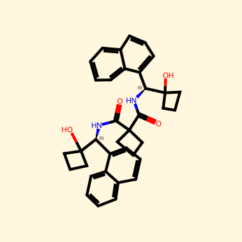 O=C(N[C@@H](c1cccc2ccccc12)C1(O)CCC1)C1(C(=O)N[C@@H](c2cccc3ccccc23)C2(O)CCC2)CCC1